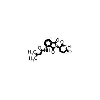 C=C(C)CC(=O)Nc1cccc2c1C(=O)N(C1CCC(=O)NC1=O)C2=O